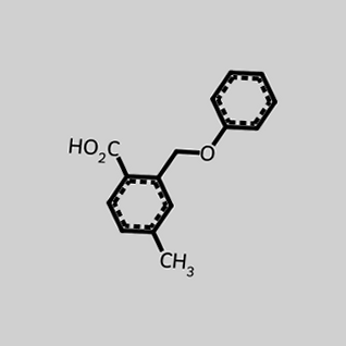 Cc1ccc(C(=O)O)c(COc2ccccc2)c1